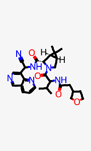 CC(C)C(NC(=O)CC1CCOC1)C(=O)N1C[C@H]2[C@@H]([C@H]1C(=O)NC(C#N)c1cncc3cccnc13)C2(C)C